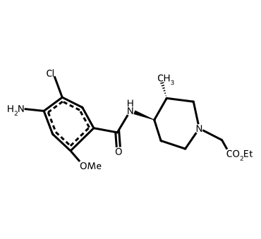 CCOC(=O)CN1CC[C@@H](NC(=O)c2cc(Cl)c(N)cc2OC)[C@H](C)C1